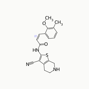 COc1c(C)cccc1/C=C\C(=O)Nc1sc2c(c1C#N)CCNC2